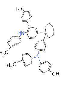 Cc1ccc(Nc2ccc(C3(c4ccc(N(c5ccc(C)cc5)c5ccc(C)cc5)cc4)CCCCC3)cc2-c2ccc(C)cc2)cc1